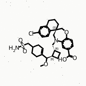 COC(C1=CCC(CS(N)(=O)=O)CC1)[C@@H]1CC[C@H]1CN1C[C@@]2(CCCc3cc(Cl)ccc32)COc2ccc(C(=O)O)cc21